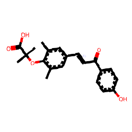 Cc1cc(/C=C/C(=O)c2ccc(O)cc2)cc(C)c1OC(C)(C)C(=O)O